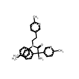 Cc1ccc(N(CCc2ccc(C)nc2)C(=O)C(N)(c2ccc(C)cc2)c2ccc(C)nc2)cc1